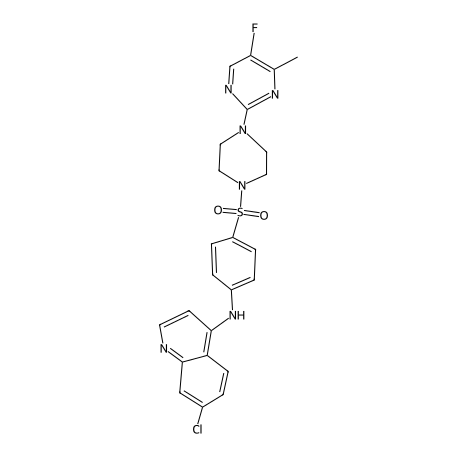 Cc1nc(N2CCN(S(=O)(=O)c3ccc(Nc4ccnc5cc(Cl)ccc45)cc3)CC2)ncc1F